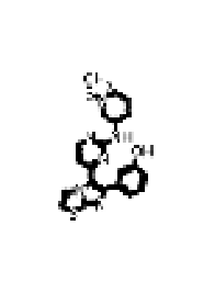 CSN1CCC[C@@H](Nc2nccc(-c3c(-c4cccc(O)c4)nc4sccn34)n2)C1